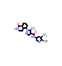 N#Cc1ncc(NC(=O)c2cnn(-c3cccc4c(=O)[nH]ccc34)c2C(F)(F)F)cc1C(F)(F)F